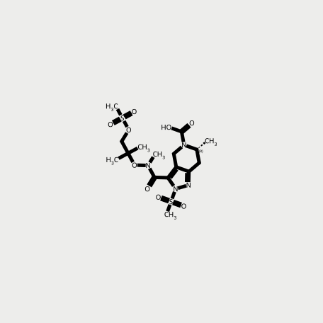 C[C@@H]1Cc2nn(S(C)(=O)=O)c(C(=O)N(C)OC(C)(C)COS(C)(=O)=O)c2CN1C(=O)O